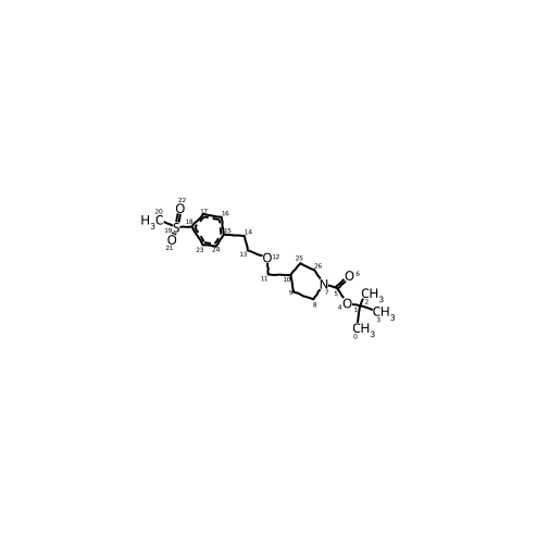 CC(C)(C)OC(=O)N1CCC(COCCc2ccc(S(C)(=O)=O)cc2)CC1